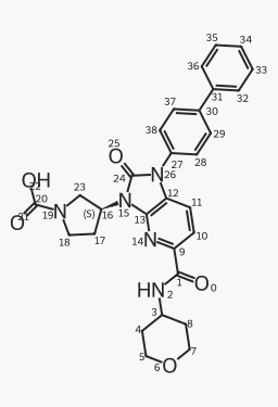 O=C(NC1CCOCC1)c1ccc2c(n1)n([C@H]1CCN(C(=O)O)C1)c(=O)n2-c1ccc(-c2ccccc2)cc1